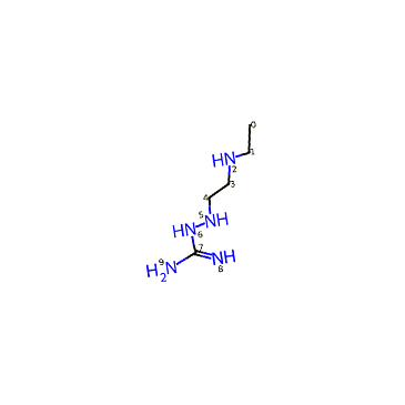 CCNCCNNC(=N)N